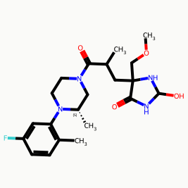 COCC1(CC(C)C(=O)N2CCN(c3cc(F)ccc3C)[C@@H](C)C2)NC(O)NC1=O